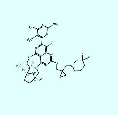 Cc1nc(N)cc(-c2nc3c4c(nc(OCC5(CN6CCCC(F)(F)C6)CC5)nc4c2F)N2C[C@H]4CC[C@H](N4)[C@H]2[C@H](C)O3)c1C(F)(F)F